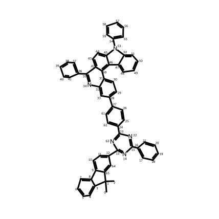 CC1(C)c2ccccc2-c2ccc(-c3nc(-c4ccccc4)nc(-c4ccc(-c5ccc6c(c5)nc(-c5ccccc5)c5ccc7c(c8ccccc8n7-c7ccccc7)c56)cc4)n3)cc21